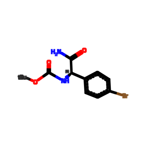 CC(C)(C)OC(=O)N[C@@H](C(N)=O)c1ccc(Br)cc1